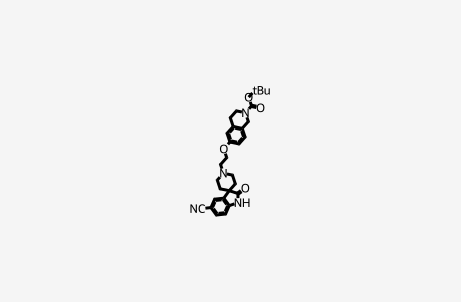 CC(C)(C)OC(=O)N1CCc2cc(OCCN3CCC4(CC3)C(=O)Nc3ccc(C#N)cc34)ccc2C1